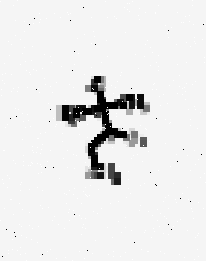 CCC([O])C(C)(C)Cl